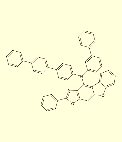 c1ccc(-c2ccc(-c3ccc(N(c4cccc(-c5ccccc5)c4)c4c5nc(-c6ccccc6)oc5cc5oc6ccccc6c45)cc3)cc2)cc1